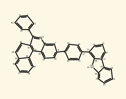 c1ccc(-c2nc3cc(-c4ccc(-c5cccc6c5oc5ccccc56)cc4)ccc3c3c2ccc2ccccc23)cc1